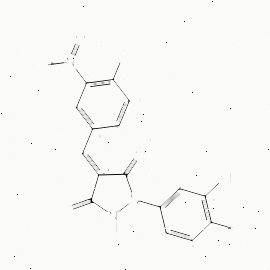 O=C1NN(c2ccc(Cl)c(Cl)c2)C(=O)/C1=C\c1ccc(Cl)c([N+](=O)[O-])c1